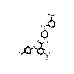 COc1ccc(Oc2ccc([N+](=O)[O-])cc2C(=O)N[C@H]2CC[C@@H](Nc3nccc(N(C)C)n3)CC2)cc1